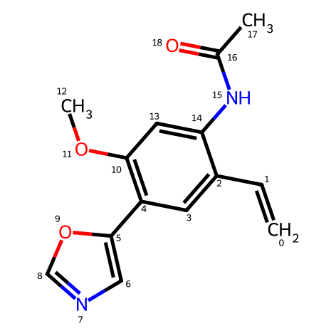 C=Cc1cc(-c2cnco2)c(OC)cc1NC(C)=O